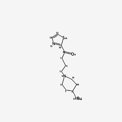 CCCCC1CCN(CCCC(=O)c2nccs2)CC1